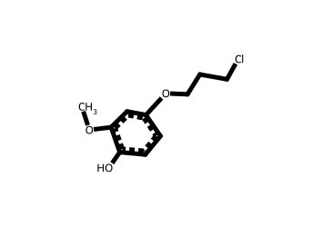 COc1cc(OCCCCl)ccc1O